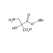 CC(C)(C)OC(=O)C(O)(CN)C(=O)O